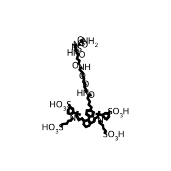 CC1(C)C(/C=C/C2=C(c3ccc(CCCCC(=O)NCCOCCOCCNC(=O)CCC(=O)Nc4nnc(S(N)(=O)=O)s4)cc3)C(=C/C=C3/N(CCCCS(=O)(=O)O)c4ccc(S(=O)(=O)O)cc4C3(C)C)/CCC2)=[N+](CCCCS(=O)(=O)O)c2ccc(S(=O)(=O)O)cc21